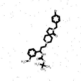 COc1cccc(C(CCN2CCC3(CC2)CCN(Cc2ccc(Br)cc2)C3=O)NC(=O)OC(C)(C)C)c1